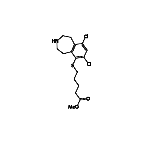 COC(=O)CCCCSc1c(Cl)cc(Cl)c2c1CCNCC2